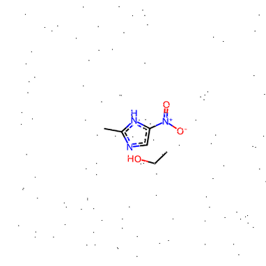 CCO.Cc1ncc([N+](=O)[O-])[nH]1